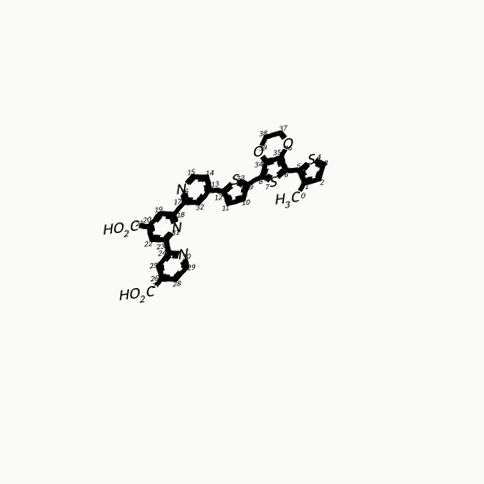 Cc1ccsc1-c1sc(-c2ccc(-c3ccnc(-c4cc(C(=O)O)cc(-c5cc(C(=O)O)ccn5)n4)c3)s2)c2c1OCCO2